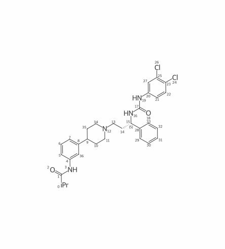 CC(C)C(=O)Nc1cccc(C2CCN(CC[C@H](NC(=O)Nc3ccc(Cl)c(Cl)c3)c3ccccc3)CC2)c1